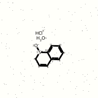 Cl.O.[O-][S+]1CC=Cc2ccccc21